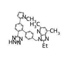 CCc1nc2c(C)cc(C)nc2n1Cc1ccc(-c2cc(-c3cccn3C)ccc2-c2nn[nH]n2)cc1